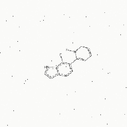 Fc1c(C2=CC=CCN2F)ccc2cc[nH]c12